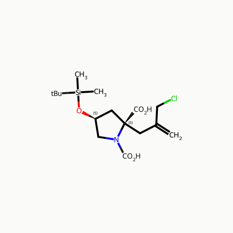 C=C(CCl)C[C@@]1(C(=O)O)C[C@H](O[Si](C)(C)C(C)(C)C)CN1C(=O)O